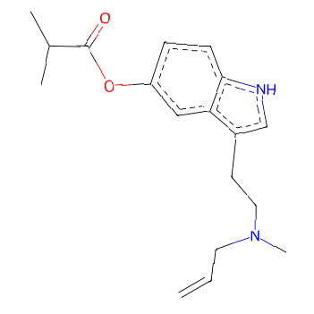 C=CCN(C)CCc1c[nH]c2ccc(OC(=O)C(C)C)cc12